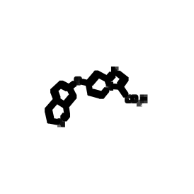 O=C(O)c1cnc2cc(Oc3ccc4ccncc4c3)ccn12